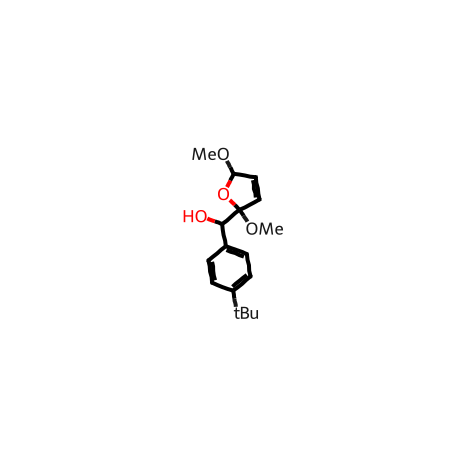 COC1C=CC(OC)(C(O)c2ccc(C(C)(C)C)cc2)O1